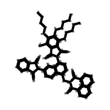 CCCCSc1c(Cl)c2c(c(SCCCC)c1SCCCC)C(=O)N(c1ccc(CN3C(=O)c4cccc5cccc(c45)C3=O)c3ccc(C4C(=O)c5ccccc5C4=O)nc13)C2=O